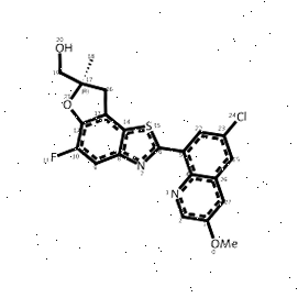 COc1cnc2c(-c3nc4cc(F)c5c(c4s3)C[C@](C)(CO)O5)cc(Cl)cc2c1